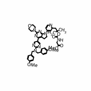 COC(=O)CNC(=O)OC(C)(C)Cc1cc(N2CCc3c(-c4cnc(N(Cc5ccc(OC)cc5)Cc5ccc(OC)cc5)nc4)nc(N4CCOCC4)nc32)ccn1